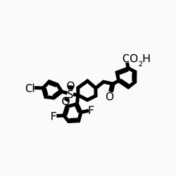 O=C(O)c1cccc(C(=O)CC2CCC(c3cc(F)ccc3F)(S(=O)(=O)c3ccc(Cl)cc3)CC2)c1